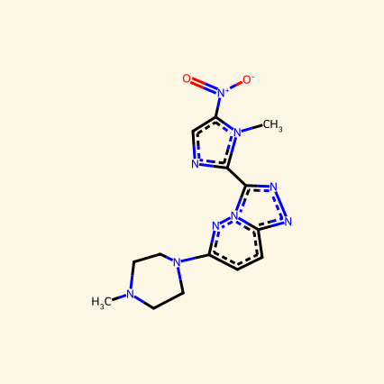 CN1CCN(c2ccc3nnc(-c4ncc([N+](=O)[O-])n4C)n3n2)CC1